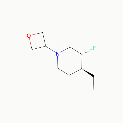 CC[C@H]1CCN(C2COC2)C[C@@H]1F